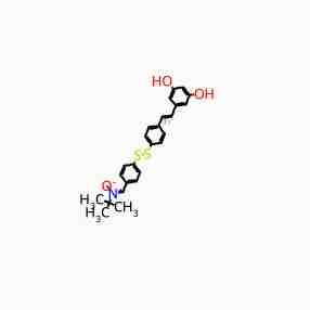 CC(C)(C)[N+]([O-])=Cc1ccc(SSc2ccc(/C=C/c3cc(O)cc(O)c3)cc2)cc1